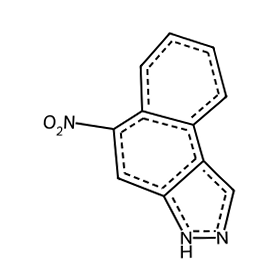 O=[N+]([O-])c1cc2[nH]ncc2c2ccccc12